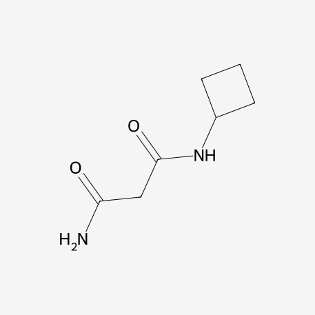 NC(=O)CC(=O)NC1CCC1